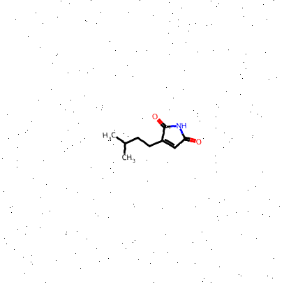 CC(C)CCC1=CC(=O)NC1=O